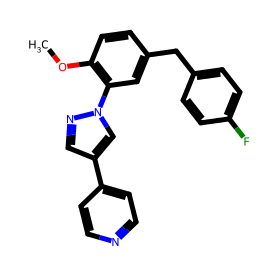 COc1ccc(Cc2ccc(F)cc2)cc1-n1cc(-c2ccncc2)cn1